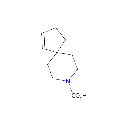 O=C(O)N1CCC2(C=CCC2)CC1